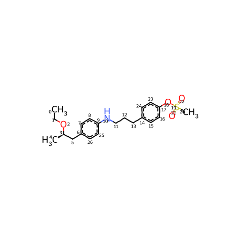 CCO[C@H](C)Cc1ccc(NCCCc2ccc(OS(C)(=O)=O)cc2)cc1